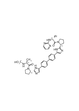 CC(C)[C@@H](Nc1ncccn1)C(=O)N1CCC[C@H]1c1ncc(-c2ccc(-c3ccc(-c4cnc([C@@H]5CCCN5C(=O)[C@H](C)NC(=O)O)[nH]4)cc3)cc2)[nH]1